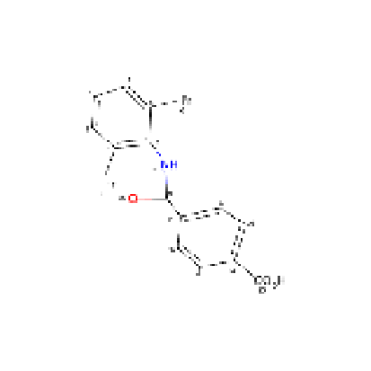 CC(C)c1cccc(C(C)C)c1NC(=O)c1ccc(C(=O)O)cc1